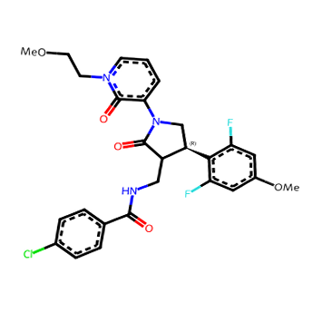 COCCn1cccc(N2C[C@@H](c3c(F)cc(OC)cc3F)C(CNC(=O)c3ccc(Cl)cc3)C2=O)c1=O